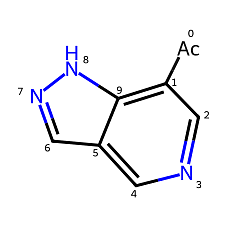 CC(=O)c1cncc2cn[nH]c12